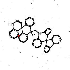 CC1(CN2c3ccccc3C3(c4ccccc4-c4ccccc43)c3ccccc32)c2ccccc2C2(c3ccccc3Nc3ccccc32)c2ccccc21